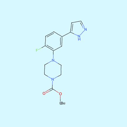 CC(C)(C)OC(=O)N1CCN(c2cc(-c3ccn[nH]3)ccc2F)CC1